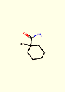 CC(C)C1(C(N)=O)CCCCC1